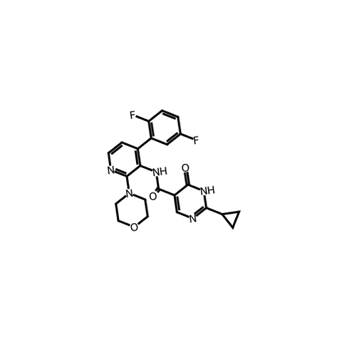 O=C(Nc1c(-c2cc(F)ccc2F)ccnc1N1CCOCC1)c1cnc(C2CC2)[nH]c1=O